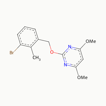 COc1cc(OC)nc(OCc2cccc(Br)c2C)n1